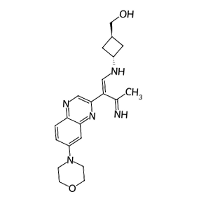 CC(=N)/C(=C\N[C@H]1C[C@H](CO)C1)c1cnc2ccc(N3CCOCC3)cc2n1